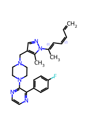 C=C/C=C\C=C(/C)n1ncc(CN2CCN(c3nccnc3-c3ccc(F)cc3)CC2)c1C